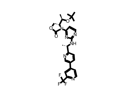 C[C@H](Nc1nccc(N2C(=O)OC[C@@H]2[C@@H](C)OC(C)(C)C)n1)c1ccc(-c2ccnc(C(F)(F)F)c2)cn1